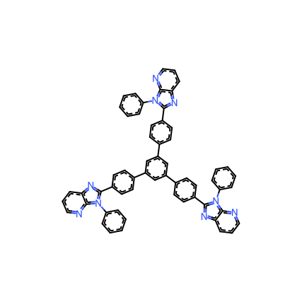 c1ccc(-n2c(-c3ccc(-c4cc(-c5ccc(-c6nc7cccnc7n6-c6ccccc6)cc5)cc(-c5ccc(-c6nc7cccnc7n6-c6ccccc6)cc5)c4)cc3)nc3cccnc32)cc1